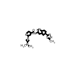 Cc1nnc(-c2ccc3nnc(NC(=O)c4ccnc(N5CC(N(C)C)C5)c4)cc3c2)s1